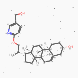 CC(COc1ccc(CO)cn1)[C@H]1CC[C@H]2[C@@H]3CC=C4C[C@@H](O)CC[C@]4(C)[C@H]3CC[C@]12C